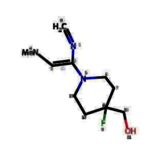 C=N/C(=C\NC)N1CCC(F)(CO)CC1